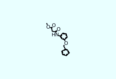 COC(=O)CC(=O)Nc1cccc(OCc2ccccc2)c1